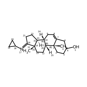 C[C@]12CCC(O)CC1=CC[C@@H]1[C@H]2CC[C@]2(C)C(=NC3CC3)CC[C@@H]12